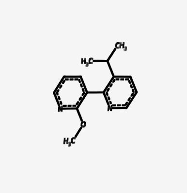 COc1ncccc1-c1ncccc1C(C)C